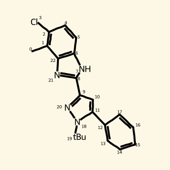 Cc1c(Cl)ccc2[nH]c(-c3cc(-c4ccccc4)n(C(C)(C)C)n3)nc12